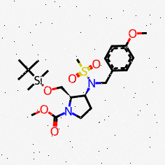 COC(=O)N1CC[C@H](N(Cc2ccc(OC)cc2)S(C)(=O)=O)[C@@H]1CO[Si](C)(C)C(C)(C)C